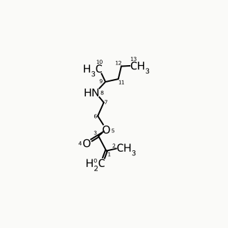 C=C(C)C(=O)OCCNC(C)CCC